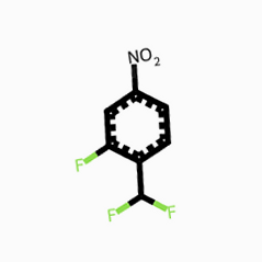 O=[N+]([O-])c1ccc(C(F)F)c(F)c1